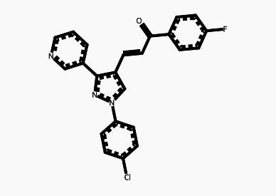 O=C(C=Cc1cn(-c2ccc(Cl)cc2)nc1-c1cccnc1)c1ccc(F)cc1